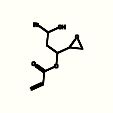 C=CC(=O)OC(CC(O)CC)C1CO1